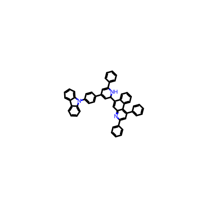 C1=C(c2ccc(-n3c4ccccc4c4ccccc43)cc2)C=C(c2ccccc2)NC1c1cc2nc(-c3ccccc3)cc(-c3ccccc3)c2c2ccccc12